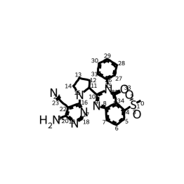 CS(=O)(=O)c1cccc2nc(C3CCCN3c3ncnc(N)c3C#N)n(-c3ccccc3)c(=O)c12